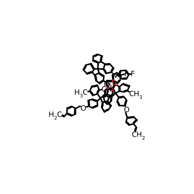 C=Cc1ccc(COc2ccc(C3(c4cc(C)ccc4C)c4ccccc4-c4ccc(N(c5ccc(F)cc5)c5ccc6c(c5)C5(c7ccccc7-6)c6ccccc6-c6ccc(N(c7ccc(F)cc7)c7ccc8c(c7)C(c7ccc(OCc9ccc(C=C)cc9)cc7)(c7cc(C)ccc7C)c7ccccc7-8)cc65)cc43)cc2)cc1